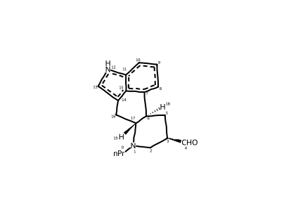 CCCN1C[C@H](C=O)C[C@@H]2c3cccc4[nH]cc(c34)C[C@H]21